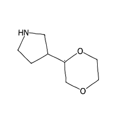 C1CC([C]2COCCO2)CN1